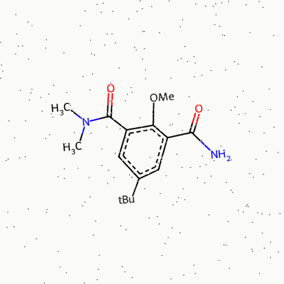 COc1c(C(N)=O)cc(C(C)(C)C)cc1C(=O)N(C)C